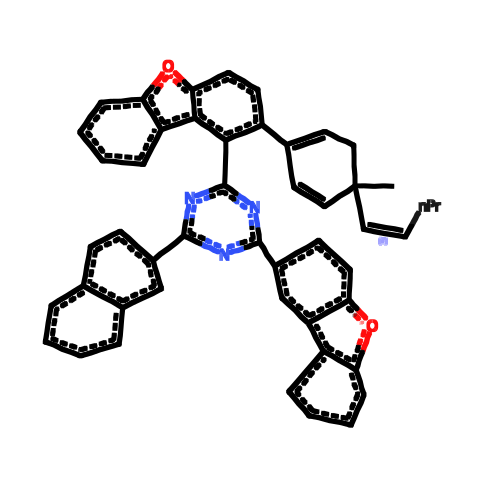 CCC/C=C\C1(C)C=CC(c2ccc3oc4ccccc4c3c2-c2nc(-c3ccc4ccccc4c3)nc(-c3ccc4oc5ccccc5c4c3)n2)=CC1